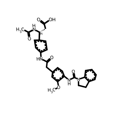 COc1cc(CC(=O)Nc2ccc([C@@H](CC(=O)O)NC(C)=O)cc2)ccc1NC(=O)N1CCc2ccccc21